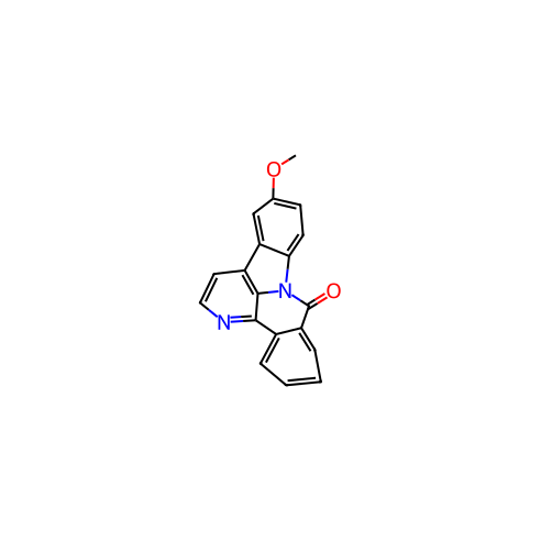 COc1ccc2c(c1)c1ccnc3c4ccccc4c(=O)n2c13